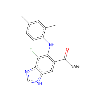 CNC(=O)c1cc2[nH]cnc2c(F)c1Nc1ccc(C)cc1C